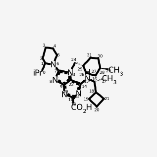 CC(C)C1CCCCN1c1nc2nc(C(=O)O)nc(N[C@H](C)C3CCC3)c2n1C[C@H]1CC[C@H](C)CC1